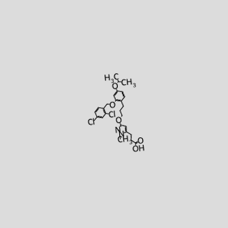 CC(C)Oc1ccc(CCCOc2cc(CCC(=O)O)n(C)n2)c(OCc2ccc(Cl)cc2Cl)c1